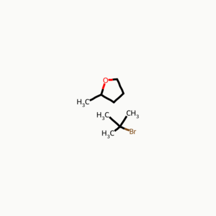 CC(C)(C)Br.CC1CCCO1